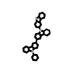 C1=Cc2c(n(-c3ccc4sc5ccccc5c4c3)c3ccc(-c4ccc5c(c4)c4ccccc4n5-c4ccccc4)cc23)CC1